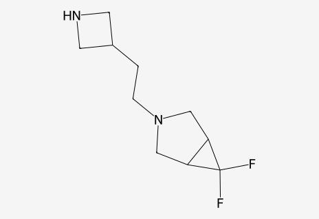 FC1(F)C2CN(CCC3CNC3)CC21